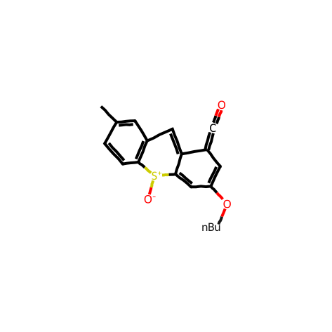 CCCCOc1cc2c(c(=C=O)c1)=Cc1cc(C)ccc1[S+]2[O-]